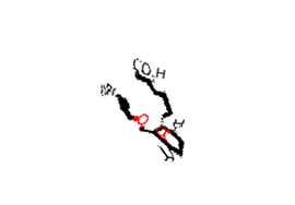 CCCC#CCOC[C@H]1[C@H](C/C=C\CCCC(=O)O)[C@H]2CC[C@@H]1O2